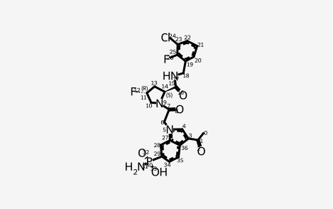 CC(=O)c1cn(CC(=O)N2C[C@H](F)C[C@H]2C(=O)NCc2cccc(Cl)c2F)c2cc(P(N)(=O)O)ccc12